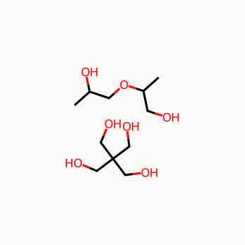 CC(O)COC(C)CO.OCC(CO)(CO)CO